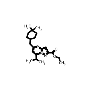 CCOC(=O)c1cc2nc(CC3CCC(C)(C)CC3)cc(C(C)C)n2n1